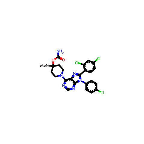 CNC1(OC(N)=O)CCN(c2ncnc3c2nc(-c2ccc(Cl)cc2Cl)n3-c2ccc(Cl)cc2)CC1